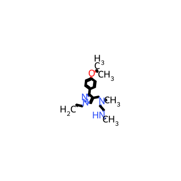 C=CCn1cc(CN(C)CCNC)c(-c2ccc(OC(C)C)cc2)n1